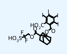 O=C(O)c1c(I)c(I)c(I)c(I)c1C(=O)OC12CC3CC(C1)CC(C(=O)OCC(F)(F)S(=O)(=O)O)(C3)C2